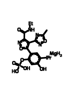 CCNC(=O)c1noc(-c2cc(C(C)C)c(O)cc2OP(=O)(O)O)c1-c1noc(C)n1.[MgH2]